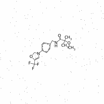 COC(C)(C)C(=O)NCc1ccc(N2C=C(C(F)(F)F)OC2)cc1